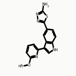 CCCOc1cccc(-c2c[nH]c3ccc(-c4nnc(N)s4)cc23)n1